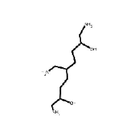 NCC(O)CCC(CN)CCC(O)CN